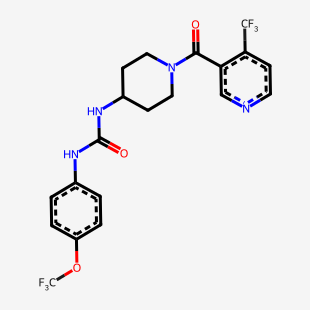 O=C(Nc1ccc(OC(F)(F)F)cc1)NC1CCN(C(=O)c2cnccc2C(F)(F)F)CC1